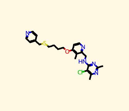 Cc1nc(C)c(Cl)c(NCc2nccc(OCCCCSCc3ccncc3)c2C)n1